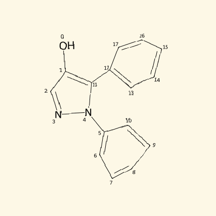 Oc1cnn(-c2ccccc2)c1-c1ccccc1